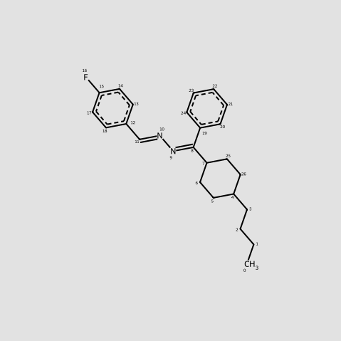 CCCCC1CCC(C(=NN=Cc2ccc(F)cc2)c2ccccc2)CC1